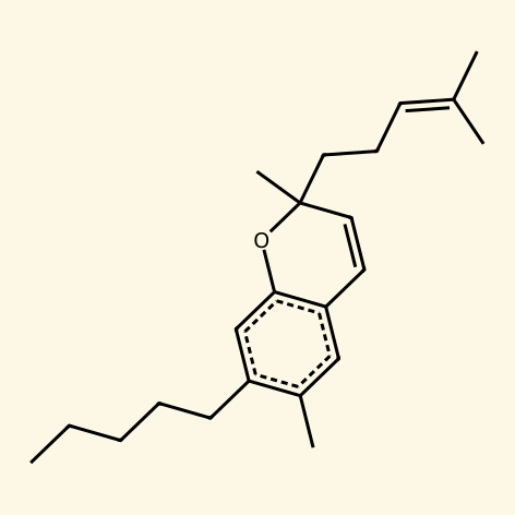 CCCCCc1cc2c(cc1C)C=CC(C)(CCC=C(C)C)O2